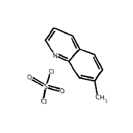 Cc1ccc2cccnc2c1.O=S(=O)(Cl)Cl